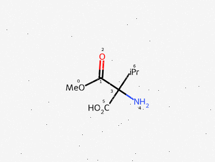 COC(=O)C(N)(C(=O)O)C(C)C